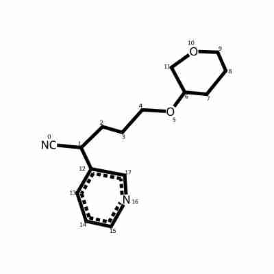 N#CC(CCCOC1CCCOC1)c1cccnc1